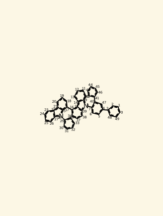 c1ccc(-c2ccc(-n3c4ccccc4c4c(-c5cccc6c7ccccc7n(-c7ccccc7)c56)cccc43)c(-c3ccccc3)c2)cc1